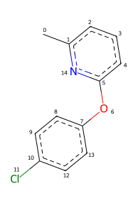 Cc1cccc(Oc2ccc(Cl)cc2)n1